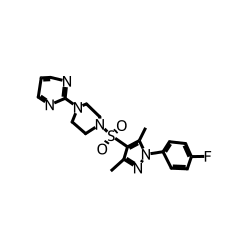 Cc1nn(-c2ccc(F)cc2)c(C)c1S(=O)(=O)N1CCN(c2ncccn2)CC1